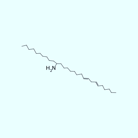 CCCCCC=CCC=CCCCCCCCC(N)CCCCCCCCCC